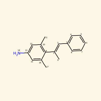 CC(=Cc1ccccc1)c1c(C)cc(N)cc1C